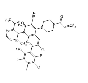 C=CC(=O)N1CCN(c2c(C#N)c(=O)n(C3C(C(C)C)=NC=C[C@H]3C)c3nc(-c4c(O)c(F)c(F)c(Cl)c4F)c(Cl)cc23)CC1